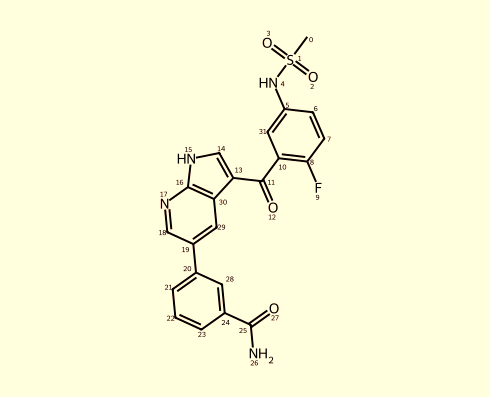 CS(=O)(=O)Nc1ccc(F)c(C(=O)c2c[nH]c3ncc(-c4cccc(C(N)=O)c4)cc23)c1